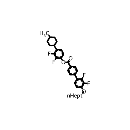 CCCCCCCOc1ccc(-c2ccc(C(=O)Oc3ccc(C4CCC(C)CC4)c(F)c3F)cc2)c(F)c1F